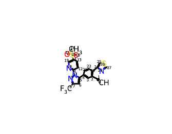 C#Cc1cc(-c2cc(C(F)(F)F)nn2-c2ccc(S(C)(=O)=O)cn2)ccc1-c1cscn1